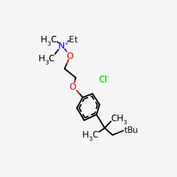 CC[N+](C)(C)OCCOc1ccc(C(C)(C)CC(C)(C)C)cc1.[Cl-]